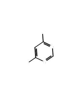 CCCCc1cc(CCCC)n[c]n1